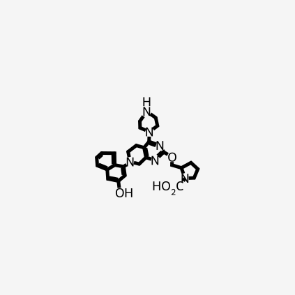 O=C(O)N1CCCC1COc1nc2c(c(N3CCNCC3)n1)CCN(c1cc(O)cc3ccccc13)C2